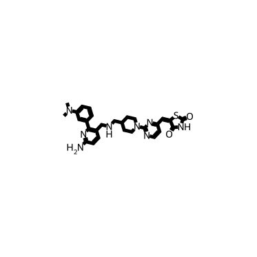 CN(C)c1cccc(-c2nc(N)ccc2CNCC2CCN(c3nccc(/C=C4/SC(=O)NC4=O)n3)CC2)c1